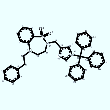 O=S1(=O)c2ccccc2N(CCc2ccccc2)CCN1Cc1cn(C(c2ccccc2)(c2ccccc2)c2ccccc2)cn1